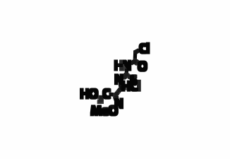 CON=C(C(=O)O)c1csc(NC(=O)CCl)n1.Cl